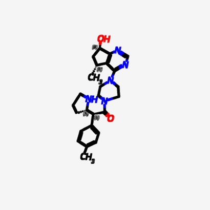 Cc1ccc([C@H](C(=O)N2CCN(c3ncnc4c3[C@H](C)C[C@H]4O)CC2)[C@@H]2CCCN2)cc1